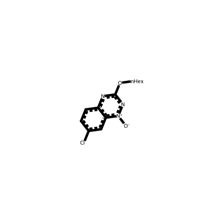 CCCCCCOc1nc2ccc(Cl)cc2[n+]([O-])n1